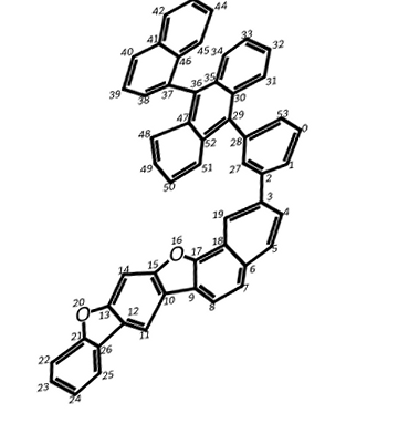 c1cc(-c2ccc3ccc4c5cc6c(cc5oc4c3c2)oc2ccccc26)cc(-c2c3ccccc3c(-c3cccc4ccccc34)c3ccccc23)c1